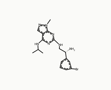 CC(C)Nc1nc(NC[C@H](N)c2cccc(Br)c2)nc2c1cnn2C